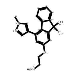 CC(=O)NCCOc1cc(-c2cnn(C)c2)c2c(c1)C(O)(C(F)(F)F)c1ccccc1-2